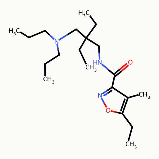 CCCN(CCC)CC(CC)(CC)CNC(=O)c1noc(CC)c1C